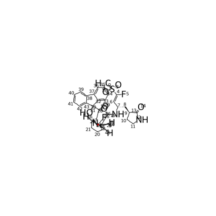 CS(=O)(=O)/C(F)=C/[C@H](C[C@@H]1CCNC1=O)NC(=O)[C@@H]1[C@@H]2CC[C@@H](CC2(F)F)N1C(=O)C1(O)c2ccccc2-c2ccccc21